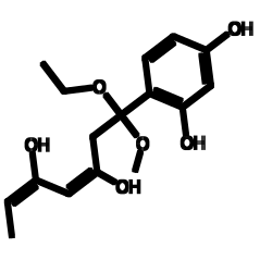 C/C=C(O)\C=C(\O)CC(OC)(OCC)c1ccc(O)cc1O